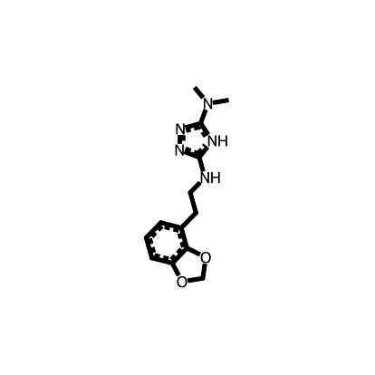 CN(C)c1nnc(NCCc2cccc3c2OCO3)[nH]1